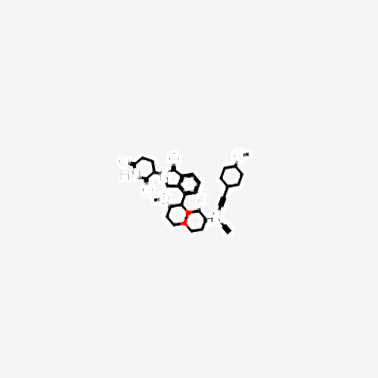 C#CN(C#CC1CCC(OC)CC1)[C@H]1CCCC[C@@H]1Oc1ccc2c(c1C1CCCC[C@@H]1OC)CN(C1CCC(=O)NC1=O)C2=O